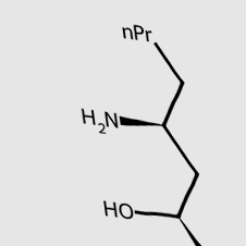 CCCC[C@H](N)C[C@@H](C)O